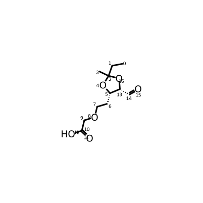 CCC1(C)O[C@@H](CCOCC(=O)O)[C@@H](C=O)O1